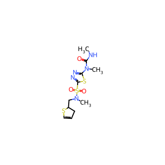 CNC(=O)N(C)c1nnc(S(=O)(=O)N(C)CC2CC=CS2)s1